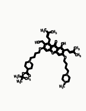 CC(C)=CCc1c(OCCCCN2CCN(C)CC2)cc2oc3cc(OCCCCN4CCC(C(=O)OC(C)(C)C)CC4)c(CO)c(CC=C(C)C)c3c(=O)c2c1O